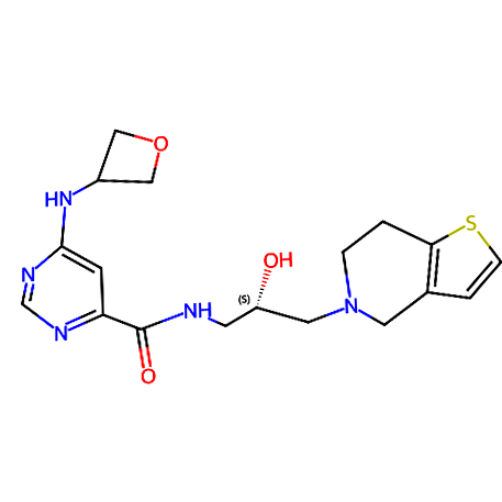 O=C(NC[C@H](O)CN1CCc2sccc2C1)c1cc(NC2COC2)ncn1